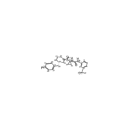 CC(=O)c1cccc(NC(=O)NC2(C(=O)N3CCC[C@@H](Cc4ccc(F)cc4)C3)CC2)c1